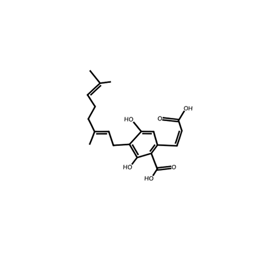 CC(C)=CCC/C(C)=C/Cc1c(O)cc(/C=C\C(=O)O)c(C(=O)O)c1O